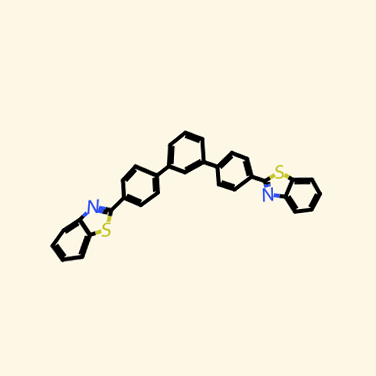 c1cc(-c2ccc(-c3nc4ccccc4s3)cc2)cc(-c2ccc(-c3nc4ccccc4s3)cc2)c1